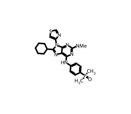 CNc1nc(Nc2ccc(P(C)(C)=O)cc2)c2nc(C3CCCCC3)n(-c3cscn3)c2n1